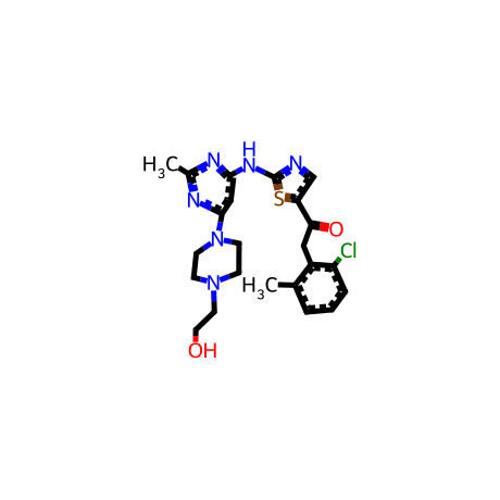 Cc1nc(Nc2ncc(C(=O)Cc3c(C)cccc3Cl)s2)cc(N2CCN(CCO)CC2)n1